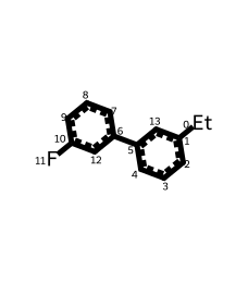 CCc1cccc(-c2cccc(F)c2)c1